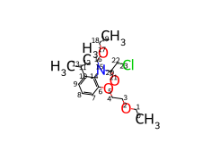 CCOCCOc1cccc(C(C)C)c1N(COCC)C(=O)CCl